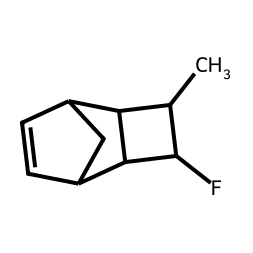 CC1C(F)C2C3C=CC(C3)C12